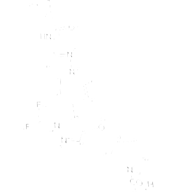 O=C(Nc1cc2cc(-c3c(OC4CCN(C(=O)O)C4)cnn3C(F)F)ccn2n1)C1CC1